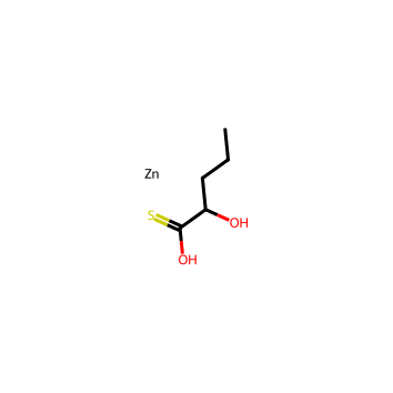 CCCC(O)C(O)=S.[Zn]